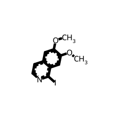 COc1cc2ccnc(I)c2cc1OC